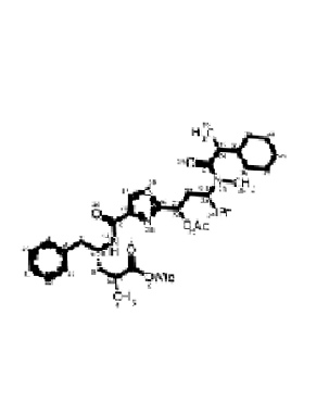 COC(=O)[C@@H](C)C[C@H](Cc1ccccc1)NC(=O)c1csc([C@@H](C[C@H](C(C)C)N(C)C(=O)[C@@H](C)C2CCCCC2)OC(C)=O)n1